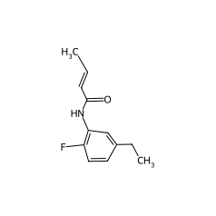 C/C=C/C(=O)Nc1cc(CC)ccc1F